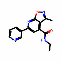 CCNC(=O)c1cc(-c2cccnc2)nc2onc(C)c12